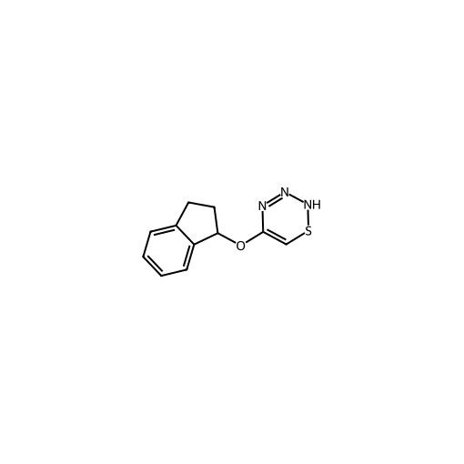 C1=C(OC2CCc3ccccc32)N=NNS1